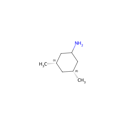 C[C@@H]1CC(N)C[C@H](C)C1